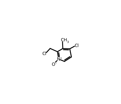 Cc1c(Cl)cc[n+]([O-])c1CCl